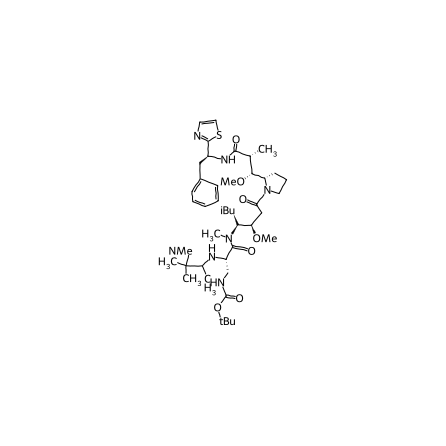 CC[C@H](C)[C@@H]([C@@H](CC(=O)N1CCC[C@H]1[C@H](OC)[C@@H](C)C(=O)N[C@@H](Cc1ccccc1)c1nccs1)OC)N(C)C(=O)[C@H](CNC(=O)OC(C)(C)C)NC(C)C(C)(C)NC